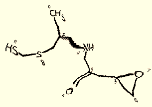 CC(NC(=O)C1CO1)SS